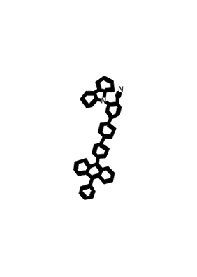 N#Cc1ccc(-c2ccc(-c3ccc(-c4c5ccccc5c(-c5ccccc5)c5ccccc45)cc3)cc2)cc1-n1c2ccccc2c2ccccc21